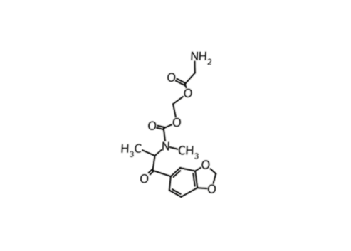 CC(C(=O)c1ccc2c(c1)OCO2)N(C)C(=O)OCOC(=O)CN